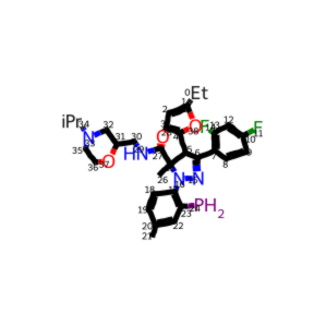 CCc1ccc(C2C(c3ccc(F)cc3F)=NN(c3ccc(C)cc3P)C2(C)C(=O)NCC2CN(C(C)C)CCO2)o1